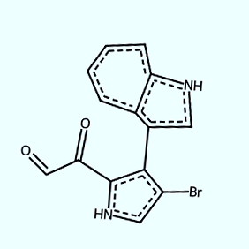 O=CC(=O)c1[nH]cc(Br)c1-c1c[nH]c2ccccc12